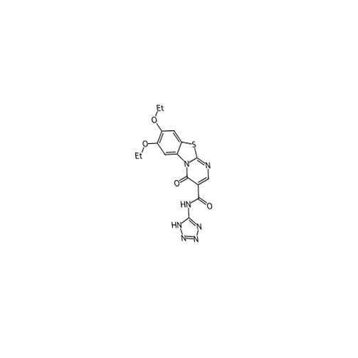 CCOc1cc2sc3ncc(C(=O)Nc4nnn[nH]4)c(=O)n3c2cc1OCC